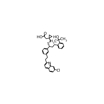 CC(C)(O)c1ccccc1CCC(SCC1(CC(=O)O)CC1)c1cccc(CCc2ccc3ccc(Cl)cc3n2)c1